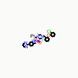 CC(C)C(=O)N1[C@H](C)CN(Cc2c(F)cccc2Oc2ccccc2Cl)C[C@@H]1C(=O)NCc1ccc(-c2ncccn2)cc1